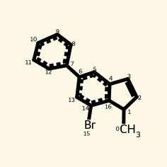 CC1C=Cc2cc(-c3ccccc3)cc(Br)c21